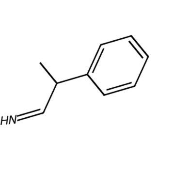 CC(C=N)c1ccccc1